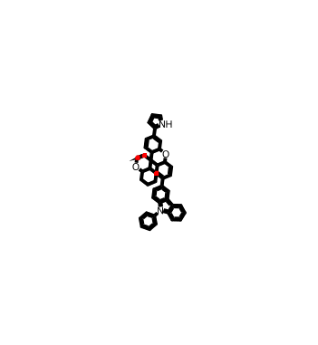 C1=CC2OC3C=C(c4ccc[nH]4)C=CC3C3(C4CCCC=C4OC4CCCCC43)C2C=C1c1ccc2c(c1)c1ccccc1n2-c1ccccc1